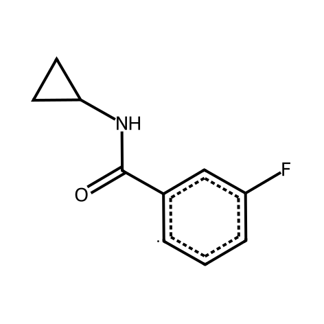 O=C(NC1CC1)c1[c]ccc(F)c1